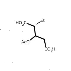 CC[C@@H](C(=O)O)C(CC(=O)O)OC(C)=O